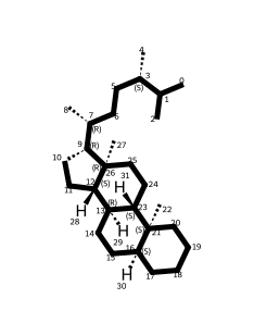 CC(C)[C@@H](C)CC[C@@H](C)[C@H]1CC[C@H]2[C@@H]3CC[C@@H]4CCCC[C@]4(C)[C@H]3CC[C@]12C